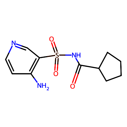 Nc1ccncc1S(=O)(=O)NC(=O)C1CCCC1